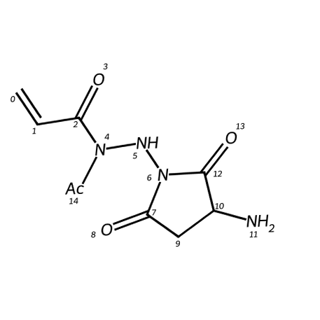 C=CC(=O)N(NN1C(=O)CC(N)C1=O)C(C)=O